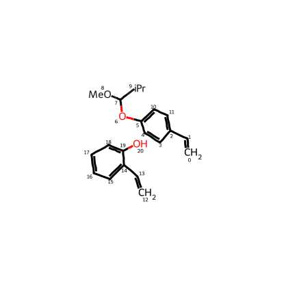 C=Cc1ccc(OC(OC)C(C)C)cc1.C=Cc1ccccc1O